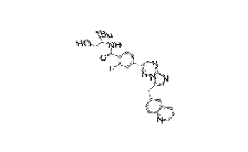 CC(C)(C)C(CO)NC(=O)c1ccc(-c2cnc3ncc(Cc4ccc5ncccc5c4)n3n2)cc1F